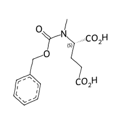 CN(C(=O)OCc1ccccc1)[C@@H](CCC(=O)O)C(=O)O